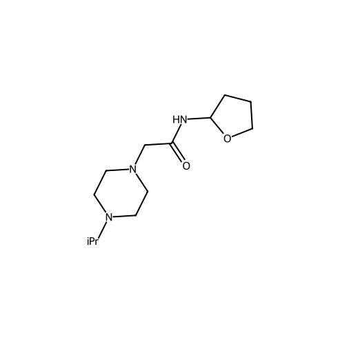 CC(C)N1CCN(CC(=O)NC2CCCO2)CC1